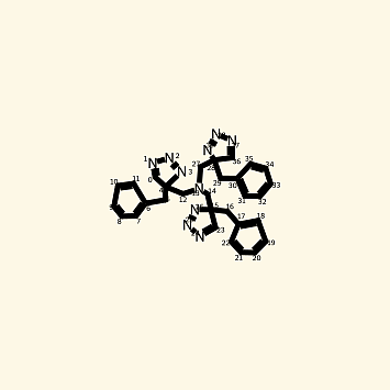 C1=NN=NC1(Cc1ccccc1)CN(CC1(Cc2ccccc2)C=NN=N1)CC1(Cc2ccccc2)C=NN=N1